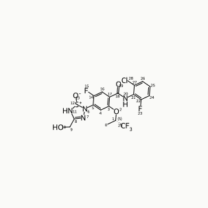 C[C@H](Oc1cc(N2N=C(CO)N[S+]2[O-])c(F)cc1C(=O)Nc1c(F)cccc1Cl)C(F)(F)F